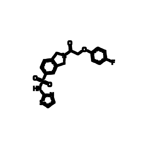 O=C(COc1ccc(F)cc1)N1Cc2ccc(S(=O)(=O)Nc3nccs3)cc2C1